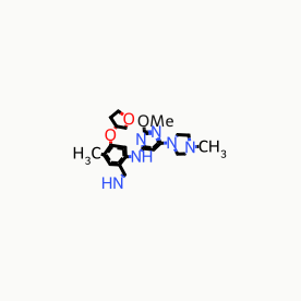 COc1nc(Nc2cc(OC3CCOC3)c(C)cc2C=N)cc(N2CCN(C)CC2)n1